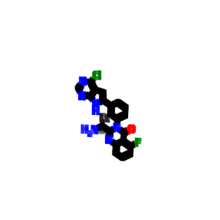 CC[C@H](N)c1nc2cccc(F)c2c(=O)n1-c1cccc(-c2cc3c(Cl)ncnc3[nH]2)c1